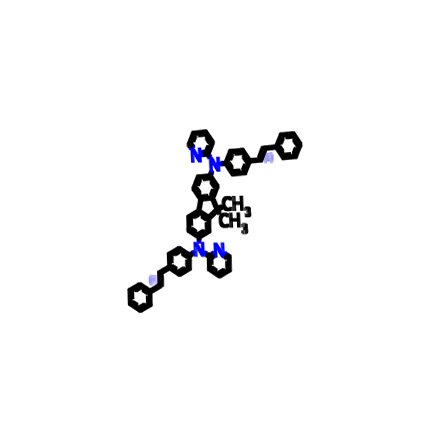 CC1(C)c2cc(N(c3ccc(/C=C/c4ccccc4)cc3)c3ccccn3)ccc2-c2ccc(N(c3ccc(/C=C/c4ccccc4)cc3)c3ccccn3)cc21